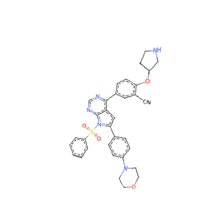 N#Cc1cc(-c2ncnc3c2cc(-c2ccc(N4CCOCC4)cc2)n3S(=O)(=O)c2ccccc2)ccc1OC1CCNC1